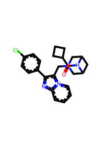 O=C(C1CCC1)N1C2CC1CN(Cc1c(-c3ccc(Cl)cc3)nc3ccccn13)C2